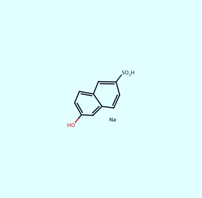 O=S(=O)(O)c1ccc2cc(O)ccc2c1.[Na]